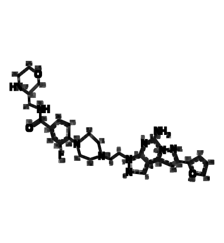 Nc1nc2c(cnn2CCN2CCN(c3ccc(C(=O)NCC4COCCN4)cc3F)CC2)c2cc(-c3ccco3)nn12